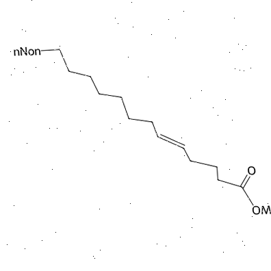 CCCCCCCCCCCCCCCCC=CCCCC(=O)OC